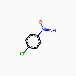 N=[N+]([O-])c1ccc(Cl)cc1